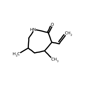 C=CC1C(=O)NCC(C)CC1C